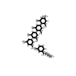 F.F.F.F.F.[S]c1cccc(I)c1.[S]c1cccc(I)c1.[S]c1cccc(I)c1.[S]c1cccc(I)c1.[S]c1cccc(I)c1